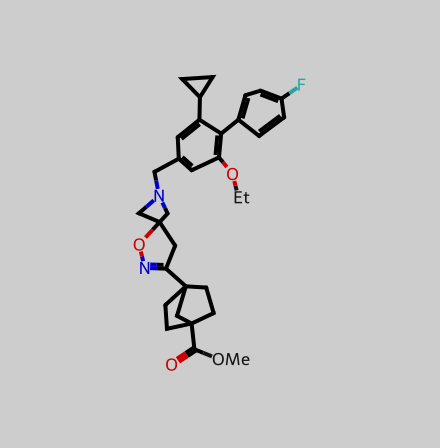 CCOc1cc(CN2CC3(CC(C45CCC(C(=O)OC)(CC4)C5)=NO3)C2)cc(C2CC2)c1-c1ccc(F)cc1